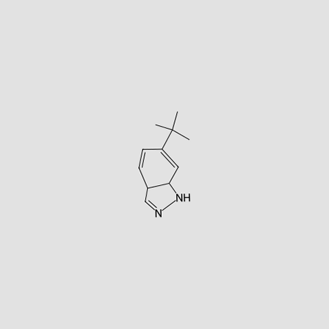 CC(C)(C)C1=CC2NN=CC2C=C1